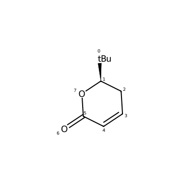 CC(C)(C)[C@H]1CC=CC(=O)O1